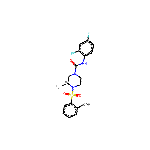 COc1ccccc1S(=O)(=O)N1CCN(C(=O)Nc2ccc(F)cc2F)C[C@@H]1C